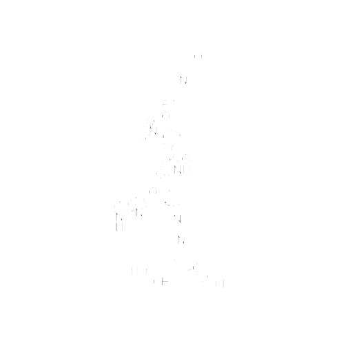 CC1(C)CCC(CN2CCN(c3ccc(C(=O)NS(=O)(=O)c4ccc(OCC5(F)CCN(C6COC6)CC5)c([N+](=O)[O-])c4)c(Oc4cnc5[nH]ccc5c4)c3)CC2)=C(c2ccc(Cl)cc2)C1